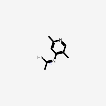 C/C(S)=N/c1cc(C)ncc1C